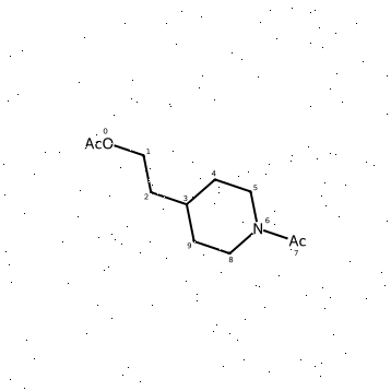 CC(=O)OCCC1CCN(C(C)=O)CC1